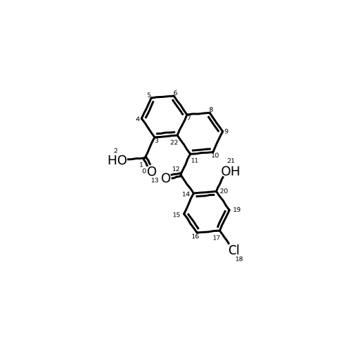 O=C(O)c1cccc2cccc(C(=O)c3ccc(Cl)cc3O)c12